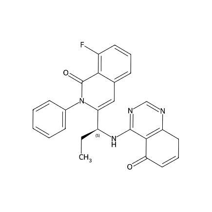 CC[C@H](Nc1ncnc2c1C(=O)C=CC2)c1cc2cccc(F)c2c(=O)n1-c1ccccc1